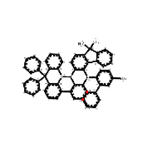 CCCCc1ccc(N2c3cc(C)cc4c3B(c3ccc5c(c32)-c2ccccc2C5(C)C)N2c3ccccc3C(c3ccccc3)(c3ccccc3)c3cccc-4c32)c(-c2ccccc2)c1